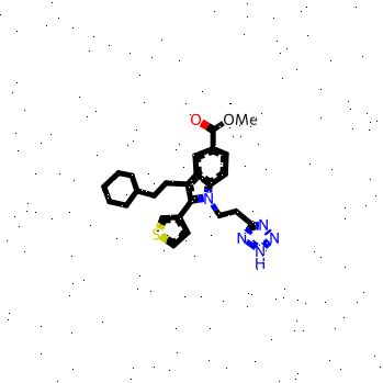 COC(=O)c1ccc2c(c1)c(CCC1CCCCC1)c(-c1ccsc1)n2CCc1nn[nH]n1